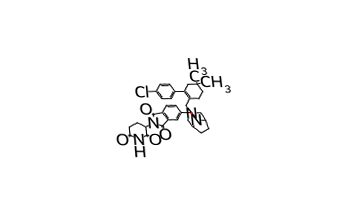 CC1(C)CCC(CN2CC3CCC(C2)N3Cc2ccc3c(c2)C(=O)N(C2CCC(=O)NC2=O)C3=O)=C(c2ccc(Cl)cc2)C1